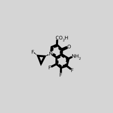 Nc1c(F)c(F)c(F)c2c1c(=O)c(C(=O)O)cn2[C@@H]1C[C@@H]1F